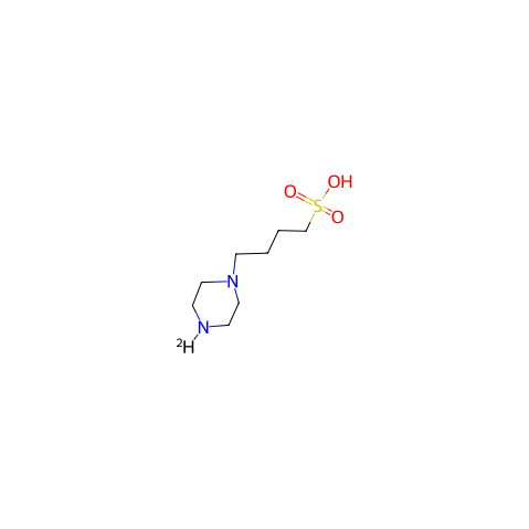 [2H]N1CCN(CCCCS(=O)(=O)O)CC1